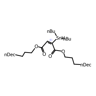 CCCCCCCCCCCCCOC(=O)/C=[C](\C(=O)OCCCCCCCCCCCCC)[SnH]([CH2]CCC)[CH2]CCC